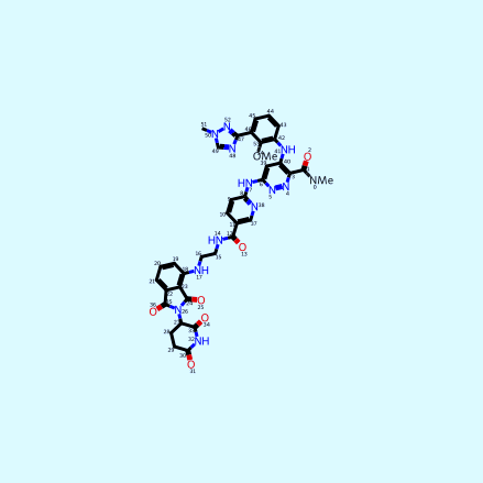 CNC(=O)c1nnc(Nc2ccc(C(=O)NCCNc3cccc4c3C(=O)N(C3CCC(=O)NC3=O)C4=O)cn2)cc1Nc1cccc(-c2ncn(C)n2)c1OC